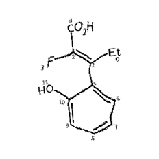 CCC(=C(F)C(=O)O)c1ccccc1O